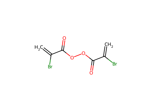 C=C(Br)C(=O)OOC(=O)C(=C)Br